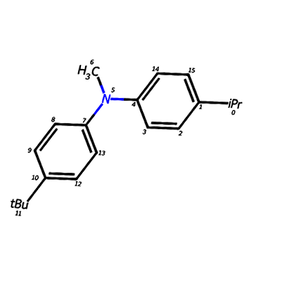 CC(C)c1ccc(N(C)c2ccc(C(C)(C)C)cc2)cc1